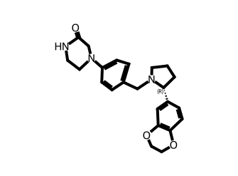 O=C1CN(c2ccc(CN3CCC[C@@H]3c3ccc4c(c3)OCCO4)cc2)CCN1